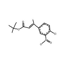 CC(=CC(=O)OC(C)(C)C)c1ccc(Cl)c([N+](=O)[O-])c1